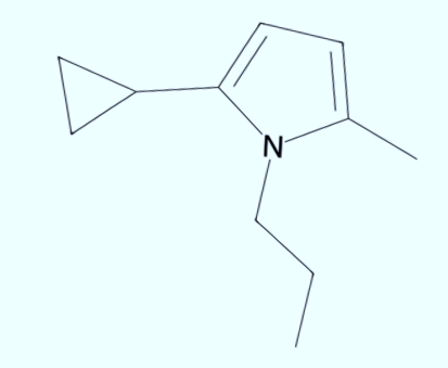 CCCn1c(C)ccc1C1CC1